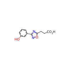 O=C(O)CCc1nc(-c2cccc(O)c2)no1